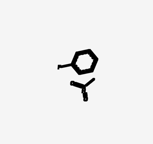 C[SH](=O)=O.Fc1ccccc1